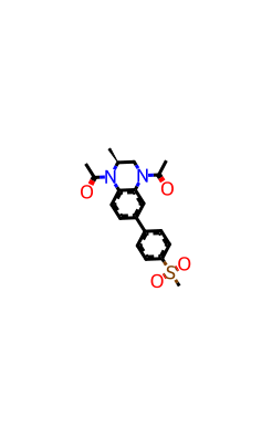 CC(=O)N1C[C@H](C)N(C(C)=O)c2ccc(-c3ccc(S(C)(=O)=O)cc3)cc21